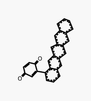 O=C1C=CC(=O)C(c2cccc3cc4cc5cc6ccccc6cc5cc4cc23)=C1